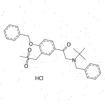 CC(C)(C)N(CC(=O)c1ccc(OCc2ccccc2)c(CS(C)(=O)=O)c1)Cc1ccccc1.Cl